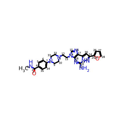 CNC(=O)c1ccc(N2CCN(CCn3cnc4c3nc(N)n3nc(-c5ccco5)cc43)CC2)cc1